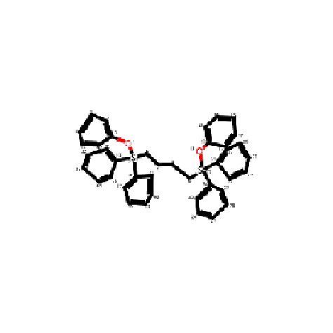 c1ccc(O[Si](CCCC[Si](Oc2ccccc2)(c2ccccc2)c2ccccc2)(c2ccccc2)c2ccccc2)cc1